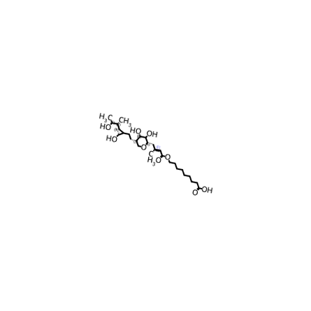 C/C(=C\C(=O)OCCCCCCCCC(=O)O)C[C@@H]1OC[C@H](CCC2C(O)[C@@H]2[C@@H](C)[C@H](C)O)[C@@H](O)C1O